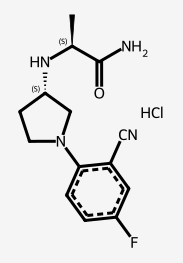 C[C@H](N[C@H]1CCN(c2ccc(F)cc2C#N)C1)C(N)=O.Cl